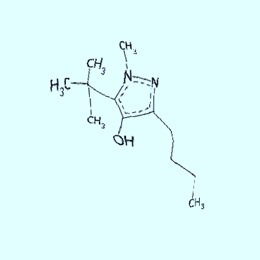 CCCCc1nn(C)c(C(C)(C)C)c1O